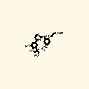 COCCOc1ccc(C#N)cc1Nc1nccc(-c2cc(C#N)c3c(c2)[C@@](C)(CO)CN3)n1